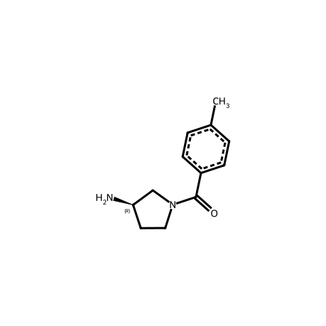 Cc1ccc(C(=O)N2CC[C@@H](N)C2)cc1